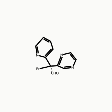 O=C[C@](Br)(c1ccccn1)c1cnccn1